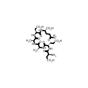 C[C@H](NC(=O)[C@H](C)NC(=O)[C@H](CCC(=O)O)NC(=O)[C@@H](N)CC(=O)O)C(=O)N[C@@H](CC(=O)O)C(=O)N[C@@H](CCC(N)=O)C(=O)O